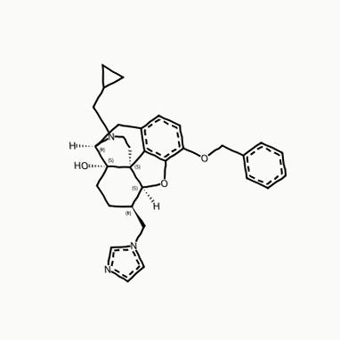 O[C@@]12CC[C@H](Cn3ccnc3)[C@@H]3Oc4c(OCc5ccccc5)ccc5c4[C@@]31CCN(CC1CC1)[C@@H]2C5